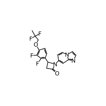 CC(F)(F)COc1ccc(C2CC(=O)N2c2ccn3ccnc3c2)c(F)c1F